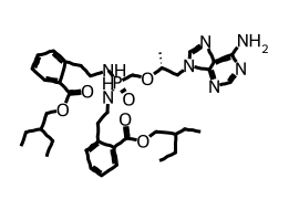 CCC(CC)COC(=O)c1ccccc1CCNP(=O)(CO[C@H](C)Cn1cnc2c(N)ncnc21)NCCc1ccccc1C(=O)OCC(CC)CC